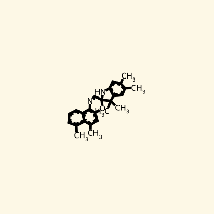 Cc1cc2c(cc1C)C(C)(C)C1(C=Nc3c(cc(C)c4c(C)cccc34)O1)N2